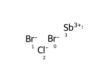 [Br-].[Br-].[Cl-].[Sb+3]